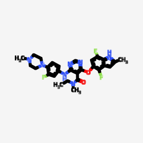 CCN(C)C(=O)c1c(Nc2ccc(N3CCN(C)CC3)c(F)c2)ncnc1Oc1cc(F)c2[nH]c(C)cc2c1F